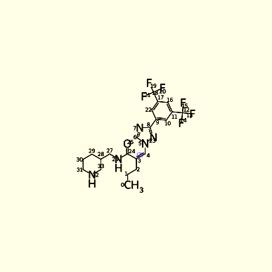 CCC/C(=C/n1cnc(-c2cc(C(F)(F)F)cc(C(F)(F)F)c2)n1)C(=O)NCC1CCCNC1